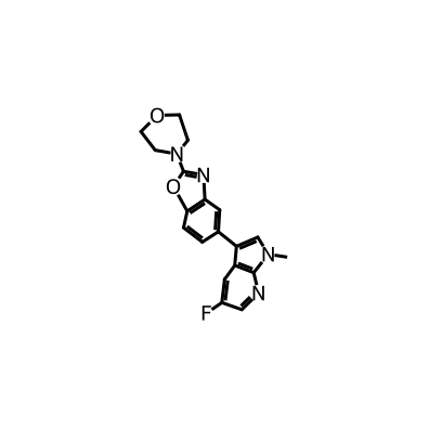 Cn1cc(-c2ccc3oc(N4CCOCC4)nc3c2)c2cc(F)cnc21